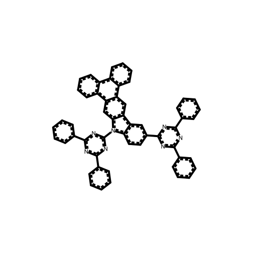 c1ccc(-c2nc(-c3ccccc3)nc(-c3ccc4c(c3)c3cc5c6ccccc6c6ccccc6c5cc3n4-c3nc(-c4ccccc4)nc(-c4ccccc4)n3)n2)cc1